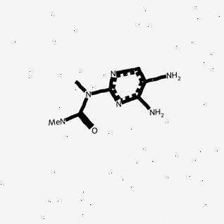 CNC(=O)N(C)c1ncc(N)c(N)n1